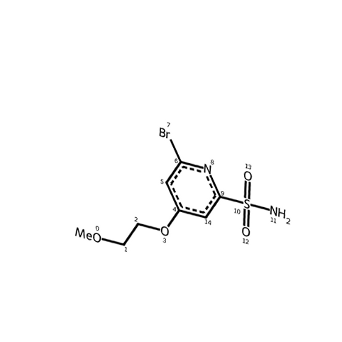 COCCOc1cc(Br)nc(S(N)(=O)=O)c1